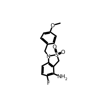 COc1ccc(CN2c3ccc(F)c(N)c3CS2(=O)=O)cc1